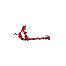 COc1cc2c(cc1OCCCCCOc1cc3c(cc1OCCCNC(=O)OCc1ccc(NC(=O)[C@H](C)NC(=O)[C@@H](NC(=O)CCOCCOCCOCCOCCOCCOCCOCCOCCNC(=O)CCN4C(=O)C=CC4=O)C(C)C)cc1)C(=O)N1C=C(C)C[C@H]1C=N3)N=C[C@@H]1CC(C)=CN1C2=O